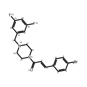 O=C(/C=C/c1ccc(Br)cc1)N1CCN(Cc2cc(F)cc(F)c2)CC1